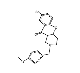 COc1ccc(CN2CCC3Oc4ccc(Br)cc4C(=O)C3C2)cc1